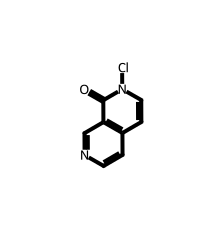 O=c1c2cnccc2ccn1Cl